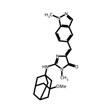 COC12CC3CC(CC(NC4=N/C(=C\c5ccc6c(cnn6C)c5)C(=O)N4C)(C3)C1)C2